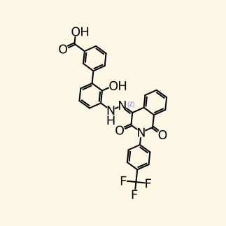 O=C(O)c1cccc(-c2cccc(N/N=C3\C(=O)N(c4ccc(C(F)(F)F)cc4)C(=O)c4ccccc43)c2O)c1